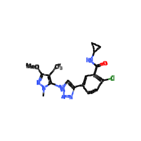 COc1nn(C)c(-n2cc(-c3ccc(Cl)c(C(=O)NC4CC4)c3)nn2)c1C(F)(F)F